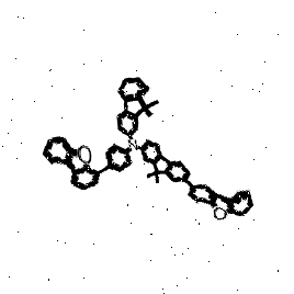 CC1(C)c2ccccc2-c2ccc(N(c3ccc(-c4cccc5c4oc4ccccc45)cc3)c3ccc4c(c3)C(C)(C)c3cc(-c5ccc6oc7ccccc7c6c5)ccc3-4)cc21